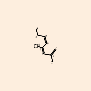 C=C(C)/C=C(Cl)\C=C/CC